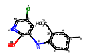 Cc1ccc(Nc2cc(Cl)cnc2O)c(C(=O)O)c1